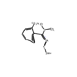 CCN(CC)/C(=N/SSC)c1ccccc1C(=O)O